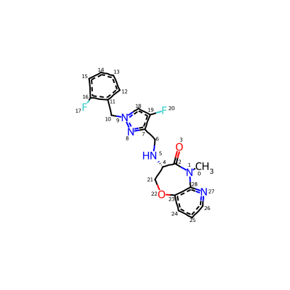 CN1C(=O)[C@@H](NCc2nn(Cc3ccccc3F)cc2F)COc2cccnc21